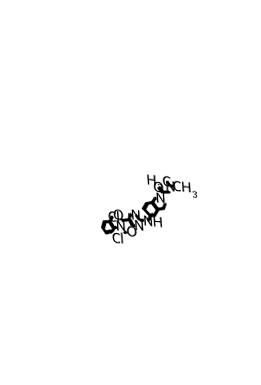 CN(C)CC(=O)N1CCc2cc(Nc3ncc4c(n3)OCN(c3c(Cl)cccc3Cl)C4=O)ccc2C1